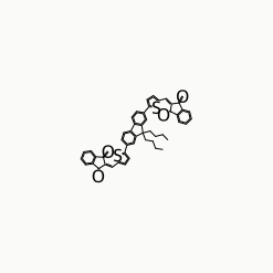 CCCCC1(CCCC)c2cc(-c3ccc(C=C4C(=O)c5ccccc5C4=O)s3)ccc2-c2ccc(-c3ccc(C=C4C(=O)c5ccccc5C4=O)s3)cc21